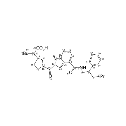 CC(C)CC(CNC(=O)c1cccn2nc(C(=O)N3CCC(N(C(=O)O)C(C)(C)C)C3)cc12)c1ccccc1